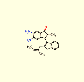 C=C1C(=O)c2cc(N)c(N)cc2C1C1=C(C/C(C)=C\C)Cc2ccccc21